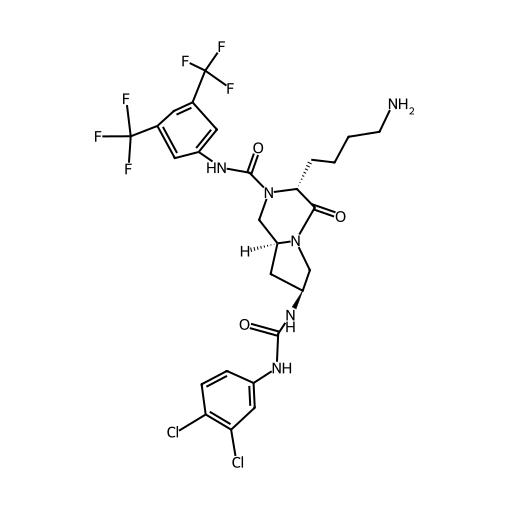 NCCCC[C@@H]1C(=O)N2C[C@@H](NC(=O)Nc3ccc(Cl)c(Cl)c3)C[C@H]2CN1C(=O)Nc1cc(C(F)(F)F)cc(C(F)(F)F)c1